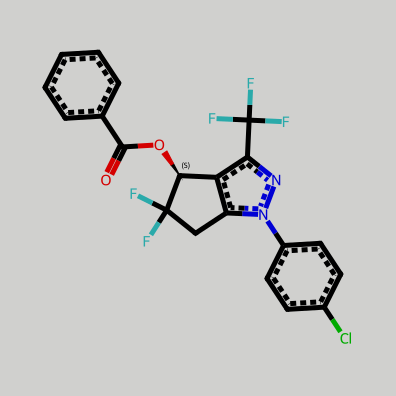 O=C(O[C@H]1c2c(C(F)(F)F)nn(-c3ccc(Cl)cc3)c2CC1(F)F)c1ccccc1